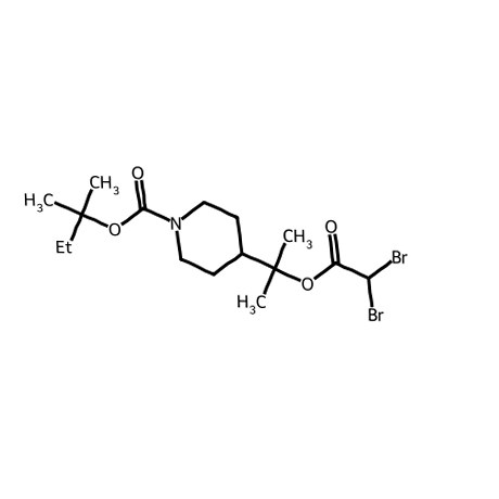 CCC(C)(C)OC(=O)N1CCC(C(C)(C)OC(=O)C(Br)Br)CC1